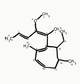 C/C=C/C(OC)=C(/C)C1=C(C)C=CCC(C)C1CC